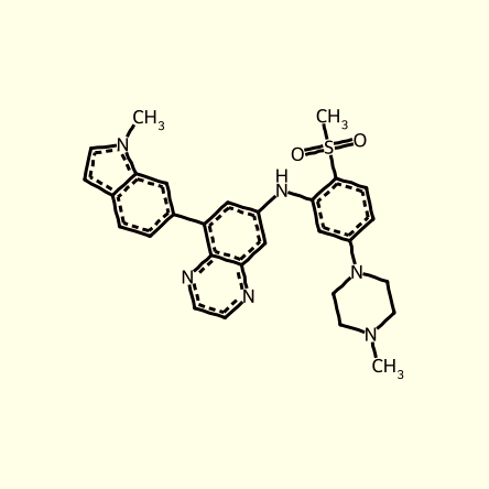 CN1CCN(c2ccc(S(C)(=O)=O)c(Nc3cc(-c4ccc5ccn(C)c5c4)c4nccnc4c3)c2)CC1